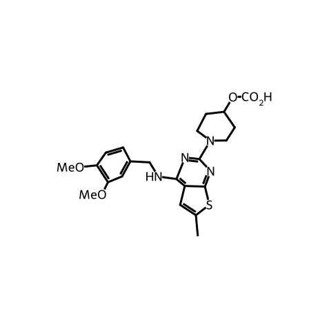 COc1ccc(CNc2nc(N3CCC(OC(=O)O)CC3)nc3sc(C)cc23)cc1OC